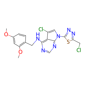 COc1ccc(CNc2ncnc3c2c(Cl)cn3-c2nnc(CCl)s2)c(OC)c1